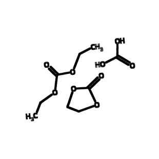 CCOC(=O)OCC.O=C(O)O.O=C1OCCO1